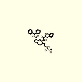 CCNC(=O)NCCC1CCC2CC[C@@H](C(=O)NC(c3ccccc3)c3ccccc3)N2C(=O)C1NC(=O)C(Cc1ccccc1)NC